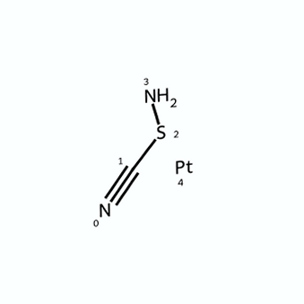 N#CSN.[Pt]